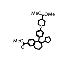 COC(=O)c1ccc2c(c1)CCCC(C1CCCC1)=C2c1ccc(N2CCC(C(OC)OC)CC2)cc1